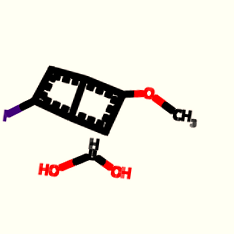 COc1cc2c(I)cc1-2.OBO